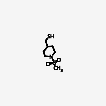 CS(=O)(=O)N1CCC(CS)CC1